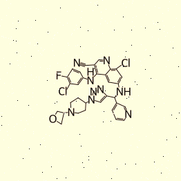 N#Cc1cnc2c(Cl)cc(N[C@@H](c3cccnc3)c3cn(C4CCN(C5COC5)CC4)nn3)cc2c1Nc1ccc(F)c(Cl)c1